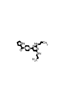 C=CCNc1cc(N2CCN(C(=O)C3CCCN3)CC2)nc(NCC=C)n1